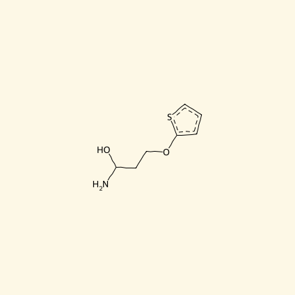 NC(O)CCOc1cccs1